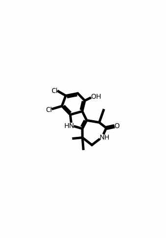 CC1C(=O)NCC(C)(C)c2[nH]c3c(Cl)c(Cl)cc(O)c3c21